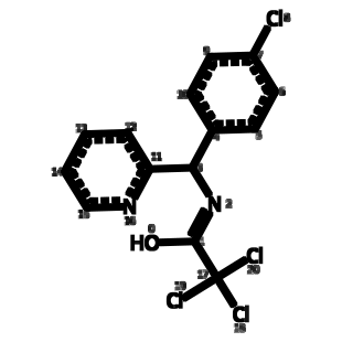 OC(=NC(c1ccc(Cl)cc1)c1ccccn1)C(Cl)(Cl)Cl